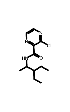 CCC(CC)C(C)NC(=O)c1nccnc1Cl